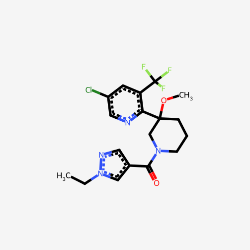 CCn1cc(C(=O)N2CCCC(OC)(c3ncc(Cl)cc3C(F)(F)F)C2)cn1